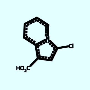 O=C(O)c1cc(Cl)n2ccccc12